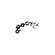 CC(C)(C)OC(=O)CN1CCN(c2ccc(-c3cnnc(-c4ccccc4F)c3)cc2)CC1